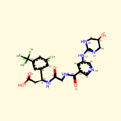 O=C(O)C[C@H](NC(=O)CNC(=O)c1cncc(NC2=NCC(O)CN2)c1)c1cc(Cl)cc(C(F)(F)F)c1